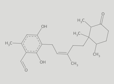 CC(=CCc1c(O)cc(C)c(C=O)c1O)CCC1(C)C(C)CCC(=O)C1C